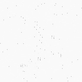 CC(C)(C)OC(=O)N1Cc2nc(-c3c(F)cccc3C#N)cc(-n3ccc(N4CCCC(N5CCOCC5)C4)n3)c2C1=O